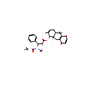 CC1=CCC2C(C)(C)C3=C(CC2(C)C1OC(=O)C1OC(C)(C)N(C(=O)OC(C)(C)C)C1c1ccccc1)C(=O)C=CC3=O